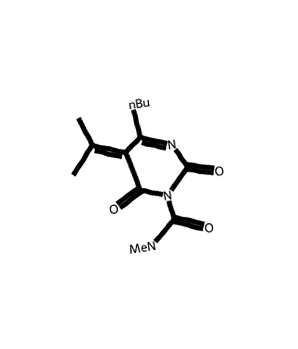 CCCCC1=NC(=O)N(C(=O)NC)C(=O)C1=C(C)C